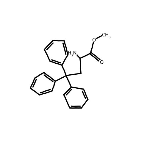 COC(=O)C(N)CC(c1ccccc1)(c1ccccc1)c1ccccc1